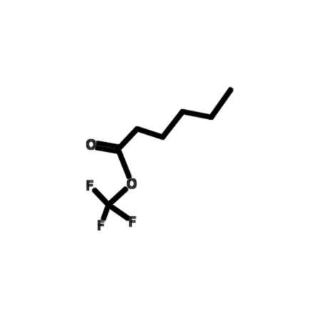 CCCCCC(=O)OC(F)(F)F